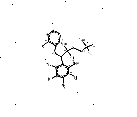 [2H]c1c([2H])c([2H])c(C(Oc2ccccc2C)C([2H])([2H])CNC([2H])([2H])[2H])c([2H])c1[2H]